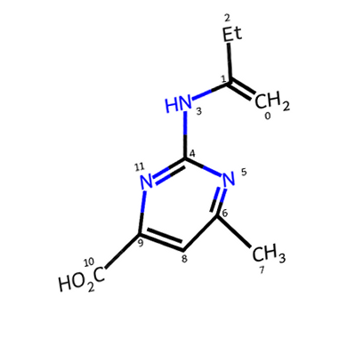 C=C(CC)Nc1nc(C)cc(C(=O)O)n1